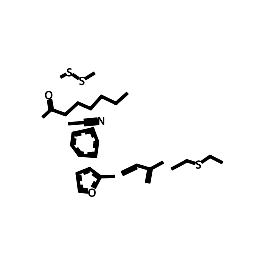 C=CC(=C)C.CC#N.CCCCCCC(C)=O.CCSCC.CSSC.Cc1ccco1.c1ccccc1